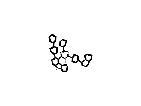 c1ccc(C2=NC(c3c(-c4ccc(-c5ccccc5)cc4)ccc4oc5ccccc5c34)NC(c3ccc(-c4cccc5ccccc45)cc3)=N2)cc1